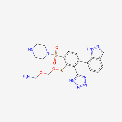 NCOCOSc1c(S(=O)(=O)N2CCNCC2)ccc(-c2cccc3cn[nH]c23)c1-c1nnn[nH]1